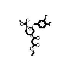 CCOC(=O)CC(=O)[C@H]1CCN(C(=O)OC)[C@H](Cc2ccc(F)c(F)c2)C1